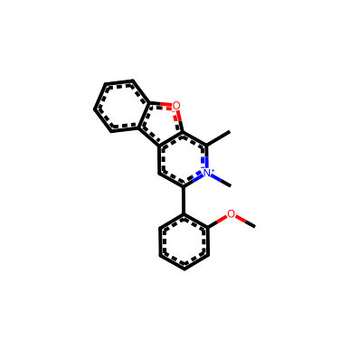 COc1ccccc1-c1cc2c(oc3ccccc32)c(C)[n+]1C